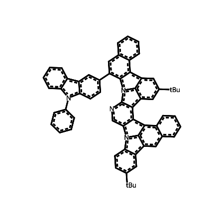 CC(C)(C)c1ccc2c(c1)c1cc3ccccc3c3c4c5c6cc(C(C)(C)C)cc7c8c9ccccc9cc(-c9ccc%10c(c9)c9ccccc9n%10-c9ccccc9)c8n(c5ncc4n2c13)c67